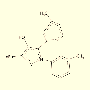 CCCCc1nn(-c2cccc(C)c2)c(-c2cccc(C)c2)c1O